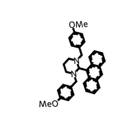 COc1ccc(CN2CCCN(Cc3ccc(OC)cc3)C2c2c3ccccc3cc3ccccc23)cc1